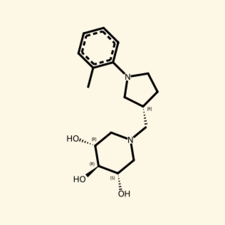 Cc1ccccc1N1CC[C@H](CN2C[C@@H](O)[C@H](O)[C@@H](O)C2)C1